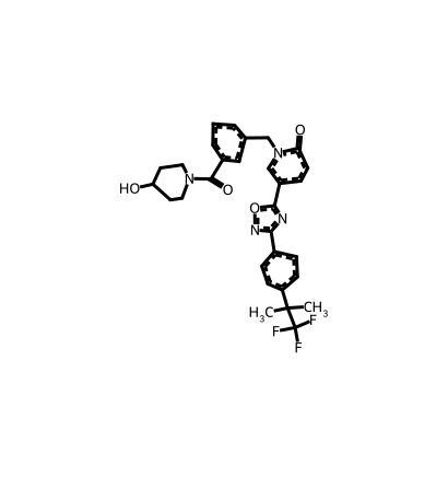 CC(C)(c1ccc(-c2noc(-c3ccc(=O)n(Cc4cccc(C(=O)N5CCC(O)CC5)c4)c3)n2)cc1)C(F)(F)F